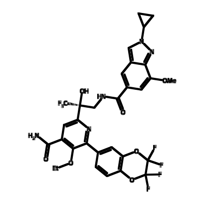 CCOc1c(C(N)=O)cc([C@@](O)(CNC(=O)c2cc(OC)c3nn(C4CC4)cc3c2)C(F)(F)F)nc1-c1ccc2c(c1)OC(F)(F)C(F)(F)O2